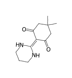 CC1(C)CC(=O)C(=C2NCCCN2)C(=O)C1